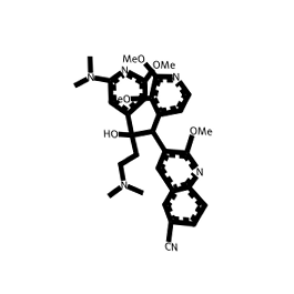 COc1cc(C(O)(CCN(C)C)C(c2cc3cc(C#N)ccc3nc2OC)c2ccnc(OC)c2OC)cc(N(C)C)n1